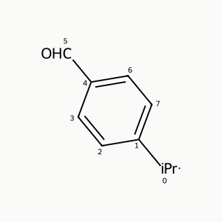 C[C](C)c1ccc(C=O)cc1